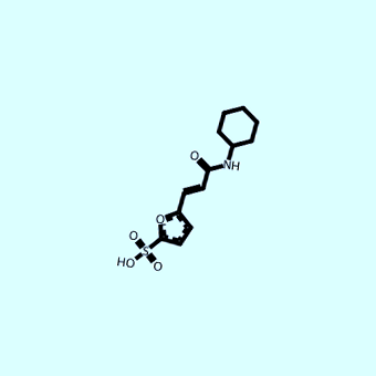 O=C(/C=C/c1ccc(S(=O)(=O)O)o1)NC1CCCCC1